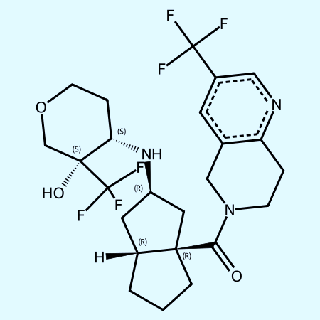 O=C(N1CCc2ncc(C(F)(F)F)cc2C1)[C@@]12CCC[C@@H]1C[C@@H](N[C@H]1CCOC[C@]1(O)C(F)(F)F)C2